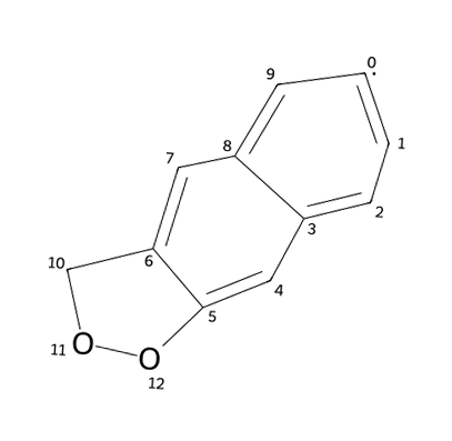 [c]1ccc2cc3c(cc2c1)COO3